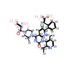 B/C=C(\B)C(=O)N1CCN(c2nc(=O)n(-c3c(CC)ccnc3C(C)C)c3nc(-c4c(F)cccc4C=C(B)B)c(Cl)cc23)[C@@H](C)C1